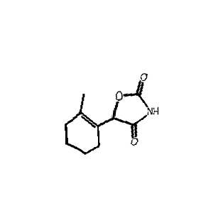 CC1=C(C2OC(=O)NC2=O)CCCC1